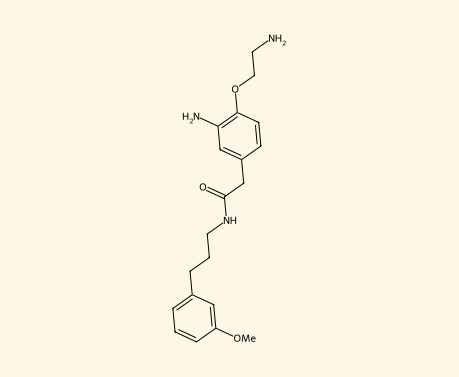 COc1cccc(CCCNC(=O)Cc2ccc(OCCN)c(N)c2)c1